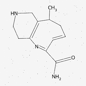 CC1C/C=C/C(C(N)=O)=N\C2=C1CNCC2